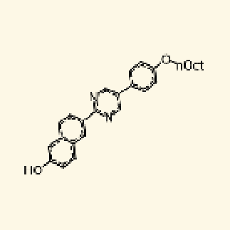 CCCCCCCCOc1ccc(-c2cnc(-c3ccc4cc(O)ccc4c3)nc2)cc1